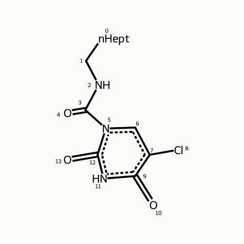 CCCCCCCCNC(=O)n1cc(Cl)c(=O)[nH]c1=O